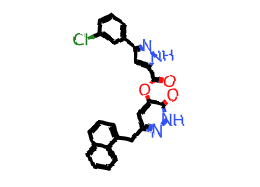 O=C(Oc1cc(Cc2cccc3ccccc23)n[nH]c1=O)c1cc(-c2cccc(Cl)c2)n[nH]1